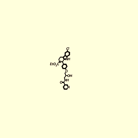 CCOC(=O)N1CCc2c([nH]c3ccc(Cl)cc23)C1c1ccc(OCC(O)CNC(=O)c2cccnc2)cc1